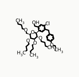 CCCCOC[C@H]1O[C@@H](c2cc(Cc3ccc(OCC)cc3)c(Cl)cc2CO)[C@H](OCCCC)[C@@H](OCCCC)[C@@H]1OCCCC